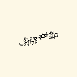 COC(=O)N[C@H](C(=O)N1CCC[C@H]1c1ncc(-c2nc3cc4sc(-c5cnc([C@@H]6CCCN6C=O)[nH]5)nc4cc3s2)[nH]1)C(C)C